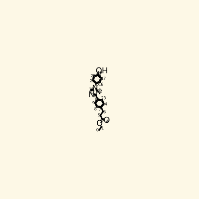 CCOC(=O)CCc1ccc(-c2ncn(-c3ccc(O)cc3)n2)cc1